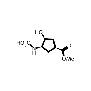 COC(=O)[C@@H]1C[C@H](O)[C@H](NC(=O)O)C1